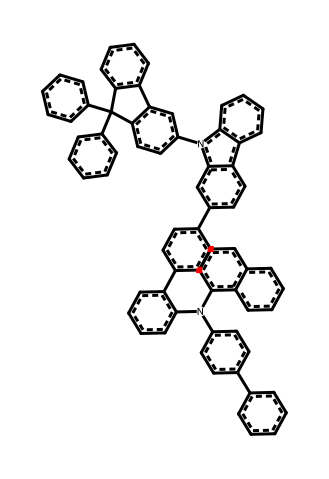 c1ccc(-c2ccc(N(c3ccccc3-c3ccc(-c4ccc5c6ccccc6n(-c6ccc7c(c6)-c6ccccc6C7(c6ccccc6)c6ccccc6)c5c4)cc3)c3cccc4ccccc34)cc2)cc1